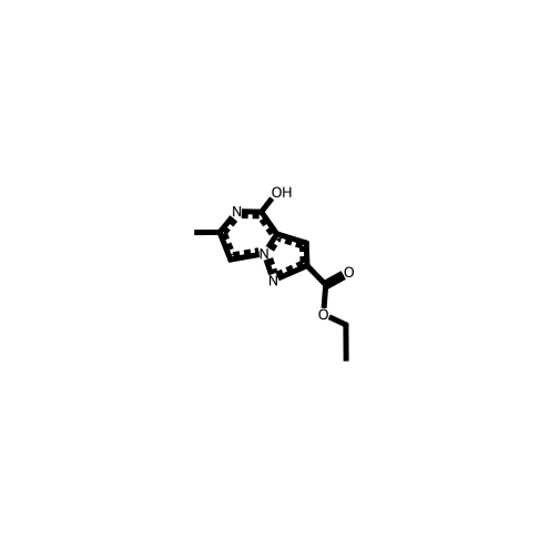 CCOC(=O)c1cc2c(O)nc(C)cn2n1